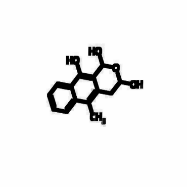 Cc1c2c(c(O)c3ccccc13)C(O)OC(O)C2